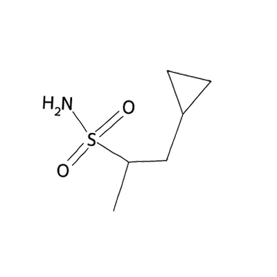 CC(CC1CC1)S(N)(=O)=O